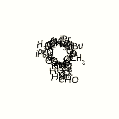 CCC(C)[C@@H]1OC(=O)[C@H](C)OC(=O)[C@@H](NC(=O)c2cccc(NC=O)c2O)[C@@H](C)OC(=O)[C@H](CC(C)C)OC(=O)C(C)(C)C(=O)[C@H](CC(C)C)NC1=O